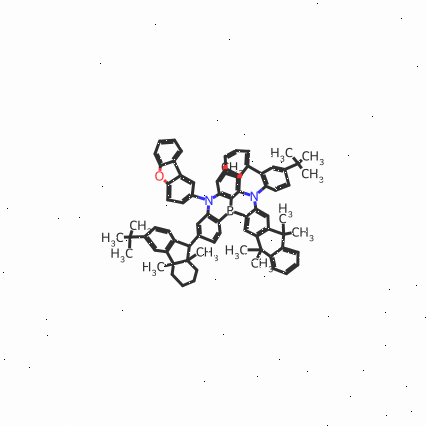 Cc1cc2c3c(c1)N(c1ccc(C(C)(C)C)cc1-c1ccccc1)c1cc4c(cc1B3c1ccc(C3c5ccc(C(C)(C)C)cc5C5(C)CCCCC35C)cc1N2c1ccc2oc3ccccc3c2c1)C(C)(C)c1ccccc1C4(C)C